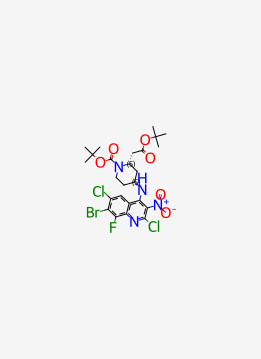 CC(C)(C)OC(=O)C[C@@H]1C[C@@H](Nc2c([N+](=O)[O-])c(Cl)nc3c(F)c(Br)c(Cl)cc23)CCN1C(=O)OC(C)(C)C